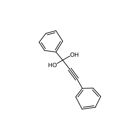 OC(O)(C#Cc1ccccc1)c1ccccc1